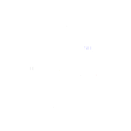 CCc1ccccc1C(N)=C1Sc2ccccc2C1=O